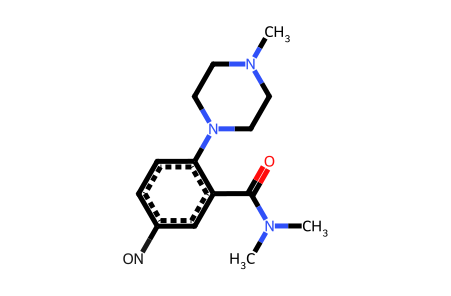 CN1CCN(c2ccc(N=O)cc2C(=O)N(C)C)CC1